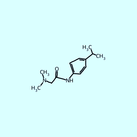 CC(C)c1ccc(NC(=O)CN(C)C)cc1